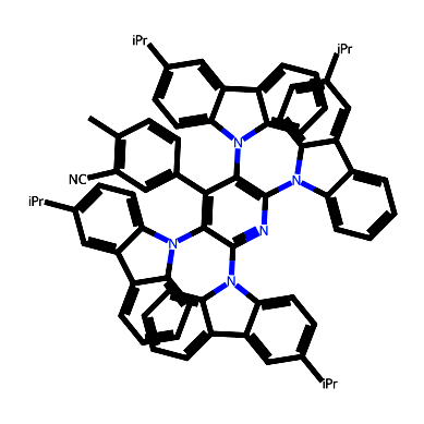 Cc1ccc(-c2c(-n3c4ccccc4c4cc(C(C)C)ccc43)c(-n3c4ccccc4c4cc(C(C)C)ccc43)nc(-n3c4ccccc4c4cc(C(C)C)ccc43)c2-n2c3ccccc3c3cc(C(C)C)ccc32)cc1C#N